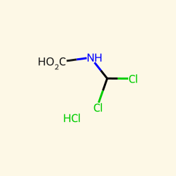 Cl.O=C(O)NC(Cl)Cl